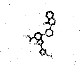 Cn1cc(-c2cc3c(N4CCCC(n5cnc6ccccc6c5=O)C4)ccc(C(N)=O)c3[nH]2)cn1